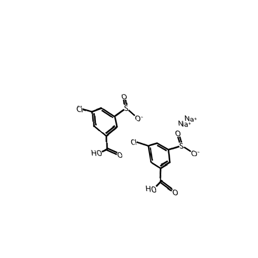 O=C(O)c1cc(Cl)cc(S(=O)[O-])c1.O=C(O)c1cc(Cl)cc(S(=O)[O-])c1.[Na+].[Na+]